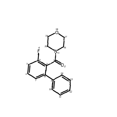 O=C(c1c(F)cccc1-c1ccccc1)N1CCOCC1